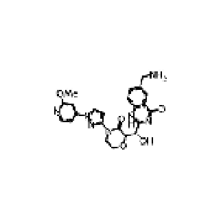 COc1cc(-n2ccc(N3CCO[C@H]([C@@H](O)c4nc(=O)c5cc(CN)ccc5[nH]4)C3=O)n2)ccn1